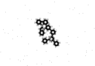 c1ccc(-c2cc(-c3cccc(-c4cccc(-n5c(-n6c7ccccc7c7ccccc76)cc6ccccc65)c4)c3)nc(-c3ccccc3)n2)cc1